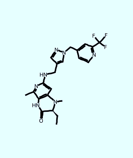 CC[C@H]1C(=O)Nc2c(cc(NCc3cnn(Cc4ccnc(C(F)(F)F)c4)c3)nc2C)N1C